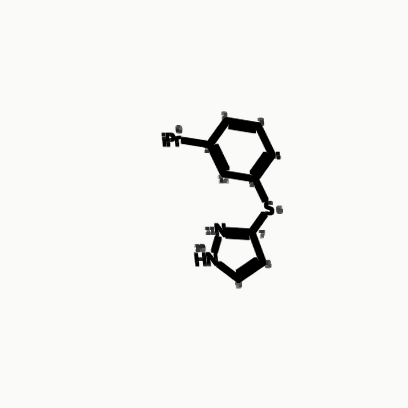 CC(C)c1cccc(Sc2cc[nH]n2)c1